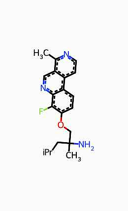 Cc1nccc2c1cnc1c(F)c(OCC(C)(N)CC(C)C)ccc12